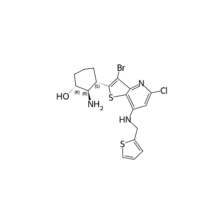 N[C@H]1[C@H](O)CCC[C@@H]1c1sc2c(NCc3cccs3)cc(Cl)nc2c1Br